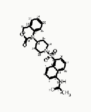 CC(=O)Nc1cccc2c(S(=O)(=O)N3CCC(N4C(=O)OCc5ccccc54)CC3)cccc12